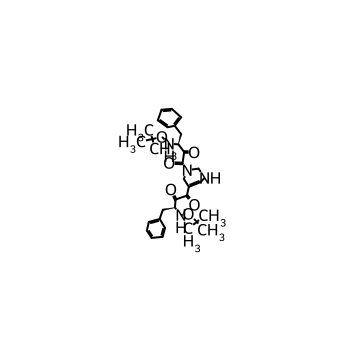 CC(C)(C)ON[C@@H](Cc1ccccc1)C(=O)C(=O)C1=CNCN(C(=O)C(=O)[C@H](Cc2ccccc2)NOC(C)(C)C)C1